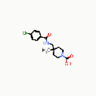 CC1(CNC(=O)c2ccc(Cl)cc2)CCN(C(=O)O)CC1